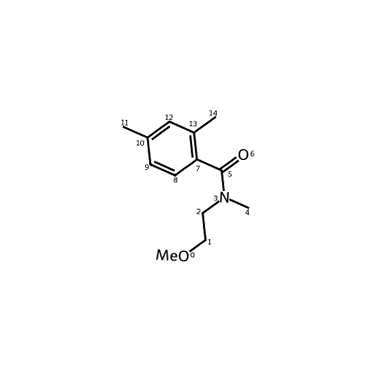 COCCN(C)C(=O)c1ccc(C)cc1C